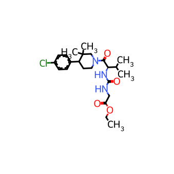 CCOC(=O)CNC(=O)N[C@@H](C(=O)N1CCC(c2ccc(Cl)cc2)C(C)(C)C1)C(C)C